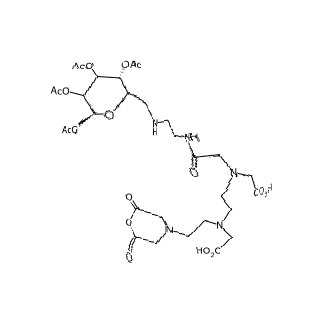 CC(=O)OC1C(OC(C)=O)[C@H](OC(C)=O)C(CNCCNC(=O)CN(CCN(CCN2CC(=O)OC(=O)C2)CC(=O)O)CC(=O)O)O[C@H]1OC(C)=O